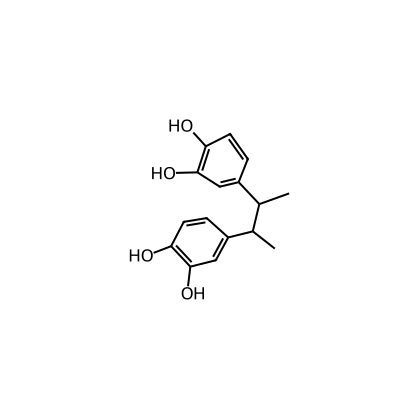 CC(c1ccc(O)c(O)c1)C(C)c1ccc(O)c(O)c1